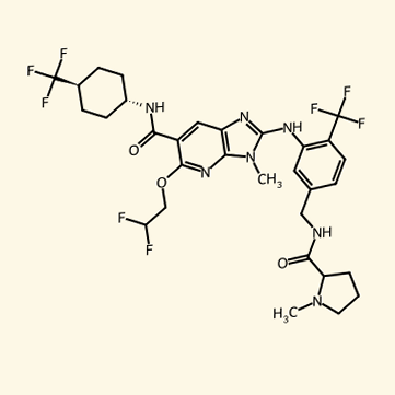 CN1CCCC1C(=O)NCc1ccc(C(F)(F)F)c(Nc2nc3cc(C(=O)N[C@H]4CC[C@H](C(F)(F)F)CC4)c(OCC(F)F)nc3n2C)c1